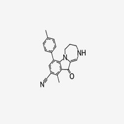 Cc1ccc(-c2cc(C#N)c(C)c3c2N2CCCNC=C2C3=O)cc1